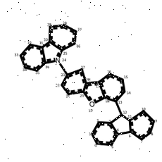 c1ccc2c(c1)-c1ccccc1C2c1cccc2c1oc1ccc(-n3c4ccccc4c4ccccc43)cc12